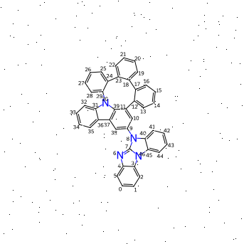 c1ccc2c(c1)nc1n(-c3cc4c5ccccc5c5ccccc5c5ccccc5n5c6ccccc6c(c3)c45)c3ccccc3n21